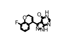 O=c1[nH]cnc2[nH]nc(C3=CCOc4c(F)cccc43)c12